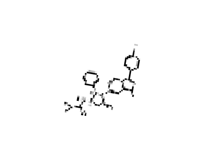 Cn1nc(-c2ccc(F)cc2)c2ccc(N3C(=O)C[C@H](NC(=O)C4CC4)[C@H]3c3ccccc3)cc21